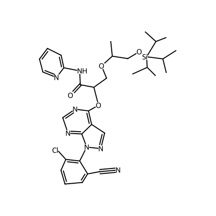 CC(CO[Si](C(C)C)(C(C)C)C(C)C)OCC(Oc1ncnc2c1cnn2-c1c(Cl)cccc1C#N)C(=O)Nc1ccccn1